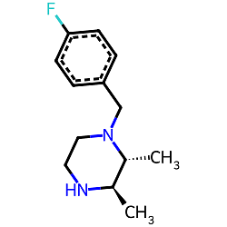 C[C@@H]1[C@@H](C)NCCN1Cc1ccc(F)cc1